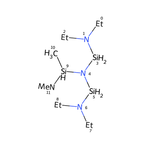 CCN(CC)[SiH2]N([SiH2]N(CC)CC)[SiH](C)NC